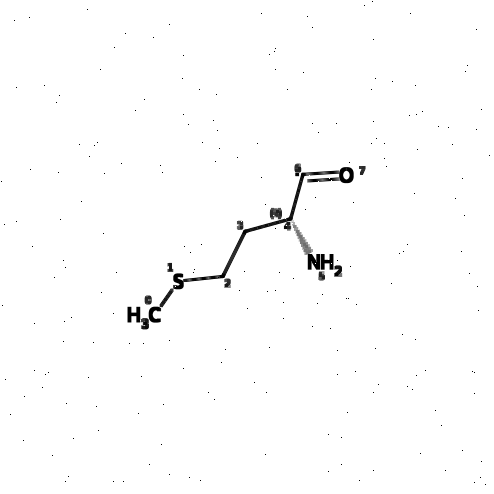 CSCC[C@@H](N)[C]=O